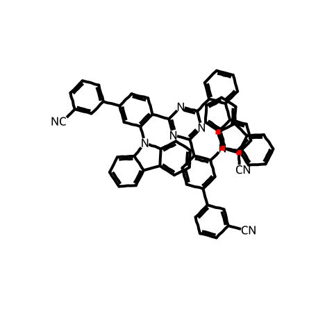 N#Cc1ccc(-c2ccccc2-c2nc(-c3ccc(-c4cccc(C#N)c4)cc3-n3c4ccccc4c4ccccc43)nc(-c3ccc(-c4cccc(C#N)c4)cc3-n3c4ccccc4c4ccccc43)n2)cc1